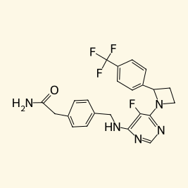 NC(=O)Cc1ccc(CNc2ncnc(N3CCC3c3ccc(C(F)(F)F)cc3)c2F)cc1